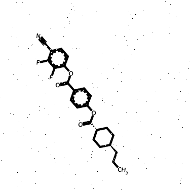 CCC[C@H]1CC[C@H](C(=O)Oc2ccc(C(=O)Oc3ccc(C#N)c(F)c3F)cc2)CC1